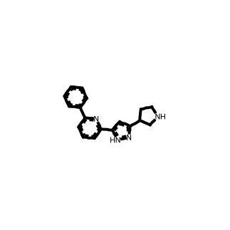 c1ccc(-c2cccc(-c3cc(C4CCNC4)n[nH]3)n2)cc1